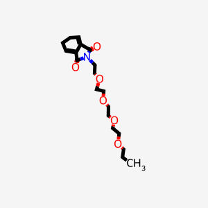 CCCOCCOCCOCCOCCN1C(=O)C2=CCCC=C2C1=O